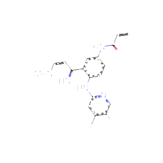 C=CC(=O)Nc1ccc(Nc2cc(Cl)c(Cl)cn2)c(C(=N)/C=C\NC)c1